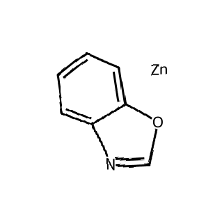 [Zn].c1ccc2ocnc2c1